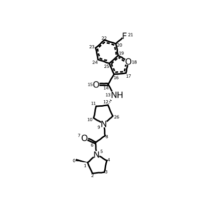 C[C@@H]1CCCN1C(=O)CN1CC[C@H](NC(=O)c2coc3c(F)cccc23)C1